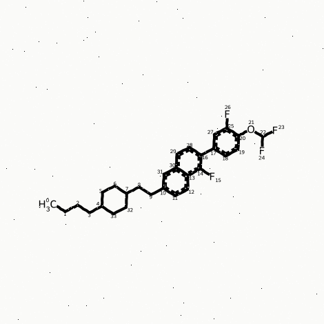 CCCCC1CCC(CCc2ccc3c(F)c(-c4ccc(OC(F)F)c(F)c4)ccc3c2)CC1